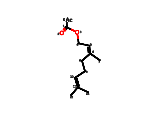 CC(=O)C(=O)OCC=C(C)CCC=C(C)C